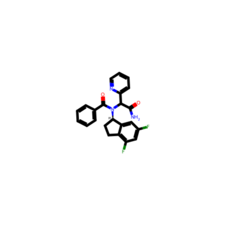 NC(=O)C(c1ccccn1)N(C(=O)c1ccccc1)[C@@H]1CCc2c(F)cc(F)cc21